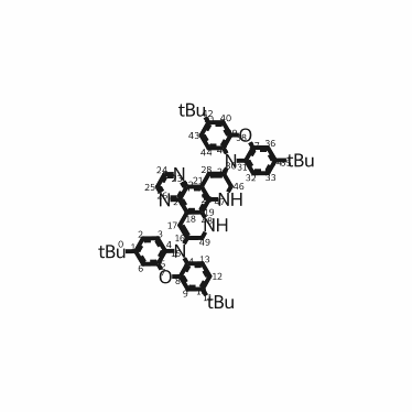 CC(C)(C)c1ccc2c(c1)Oc1cc(C(C)(C)C)ccc1N2C1=Cc2c(c3c(c4nccnc24)C=C(N2c4ccc(C(C)(C)C)cc4Oc4cc(C(C)(C)C)ccc42)CN3)NC1